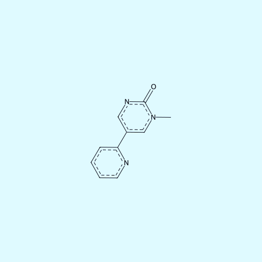 Cn1cc(-c2ccccn2)cnc1=O